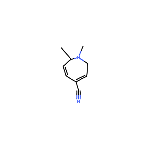 CC1C=CC(C#N)=CCN1C